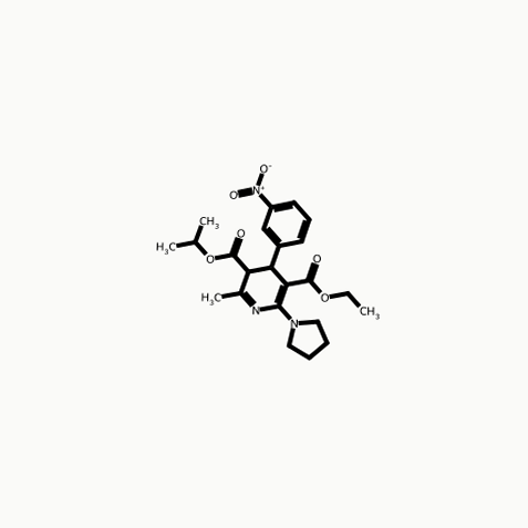 CCOC(=O)C1=C(N2CCCC2)N=C(C)C(C(=O)OC(C)C)C1c1cccc([N+](=O)[O-])c1